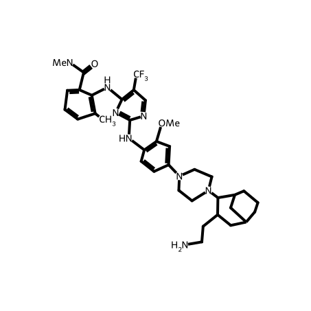 CNC(=O)c1cccc(C)c1Nc1nc(Nc2ccc(N3CCN(C4C(CCN)CC5CCCC4C5)CC3)cc2OC)ncc1C(F)(F)F